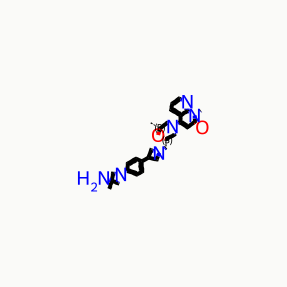 C[C@@H]1CN(c2cc(=O)n(C)c3ncccc23)C[C@H](CN2CC(c3ccc(N4CC(C)(N)C4)cc3)C2)O1